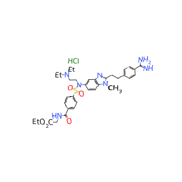 CCOC(=O)CNC(=O)c1ccc(S(=O)(=O)N(CCN(CC)CC)c2ccc3c(c2)nc(CCc2ccc(C(=N)N)cc2)n3C)cc1.Cl